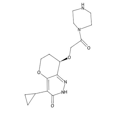 O=C(CO[C@@H]1CCOc2c1n[nH]c(=O)c2C1CC1)N1CCNCC1